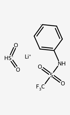 O=S(=O)(Nc1cc[c]cc1)C(F)(F)F.O=[SH-]=O.[Li+]